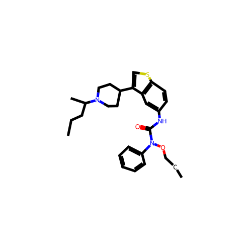 CCCON(C(=O)Nc1ccc2scc(C3CCN(C(C)CCC)CC3)c2c1)c1ccccc1